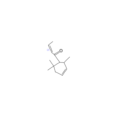 C/C=C\C(=O)C1C(C)C=CCC1(C)C